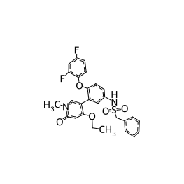 CCOc1cc(=O)n(C)cc1-c1cc(NS(=O)(=O)Cc2ccccc2)ccc1Oc1ccc(F)cc1F